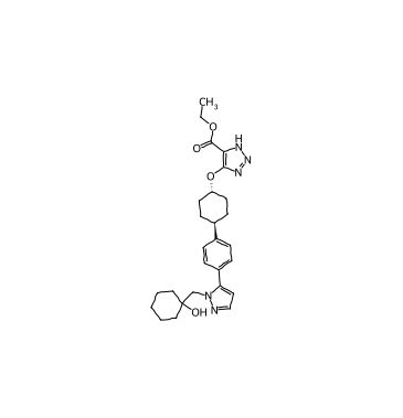 CCOC(=O)c1[nH]nnc1O[C@H]1CC[C@H](c2ccc(-c3ccnn3CC3(O)CCCCC3)cc2)CC1